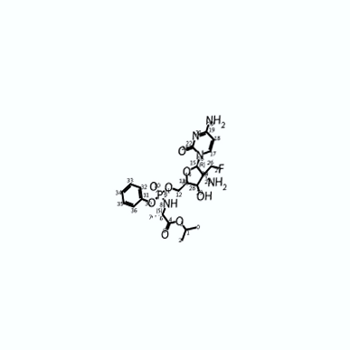 CC(C)OC(=O)[C@H](C)NP(=O)(OC[C@H]1O[C@@H](n2ccc(N)nc2=O)[C@@](N)(CF)C1O)Oc1ccccc1